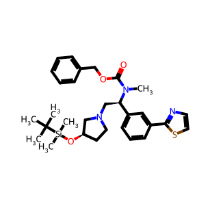 CN(C(=O)OCc1ccccc1)[C@H](CN1CC[C@@H](O[Si](C)(C)C(C)(C)C)C1)c1cccc(-c2nccs2)c1